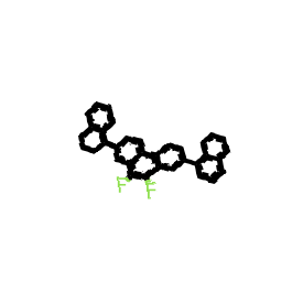 Fc1c(F)c2cc(-c3cccc4ccccc34)ccc2c2ccc(C3=c4ccccc4=CCC3)cc12